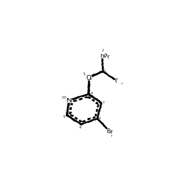 CCCC(F)Oc1cc(Br)ccn1